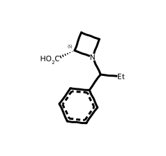 CCC(c1ccccc1)N1CC[C@H]1C(=O)O